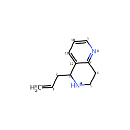 C=CCC1NCCc2ncccc21